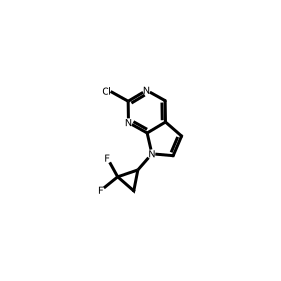 FC1(F)CC1n1ccc2cnc(Cl)nc21